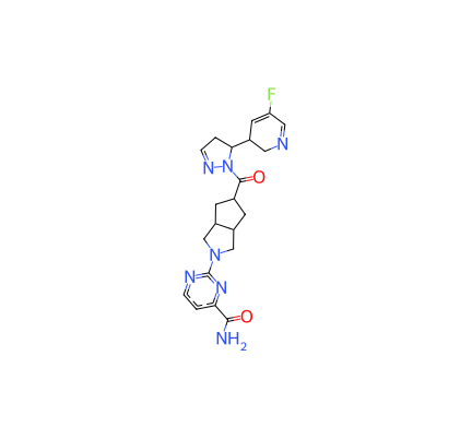 NC(=O)c1ccnc(N2CC3CC(C(=O)N4N=CCC4C4C=C(F)C=NC4)CC3C2)n1